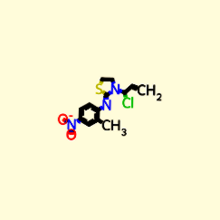 C=CC(Cl)N1CCSC1=Nc1ccc([N+](=O)[O-])cc1C